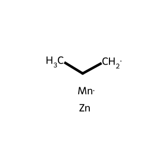 [CH2]CC.[Mn].[Zn]